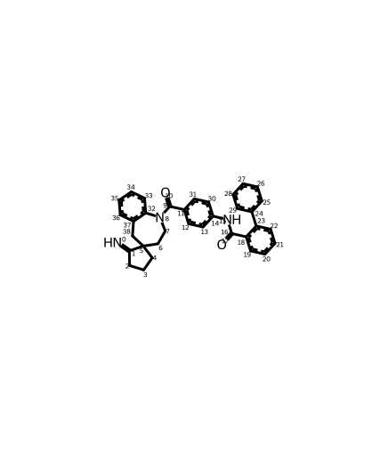 N=C1CCCC12CCN(C(=O)c1ccc(NC(=O)c3ccccc3-c3ccccc3)cc1)c1ccccc1C2